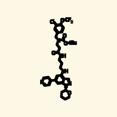 CC(C)(C)OC(=O)N(CCC(=O)NCCCNc1cc(-c2ccncc2)cc2c1cnn2C1CCCCO1)Cc1ccc(OC(F)(F)F)c(Cl)c1